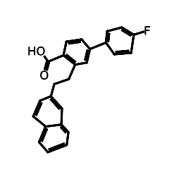 O=C(O)c1ccc(-c2ccc(F)cc2)cc1CCc1ccc2ccccc2c1